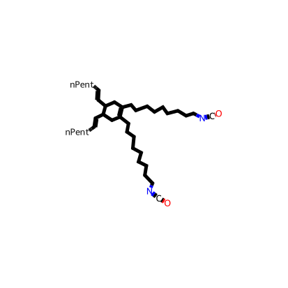 CCCCCC=CC1CC(CCCCCCCCCN=C=O)=C(CCCCCCCCCN=C=O)CC1C=CCCCCC